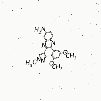 COc1cc(OC)cc(-c2nc3ccc(N)cc3nc2-c2cnn(C)c2)c1